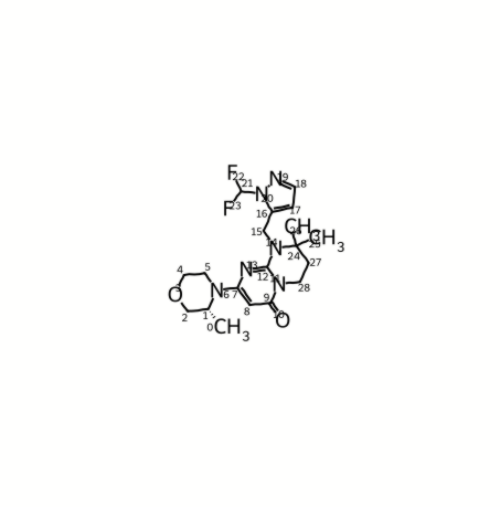 C[C@@H]1COCCN1c1cc(=O)n2c(n1)N(Cc1ccnn1C(F)F)C(C)(C)CC2